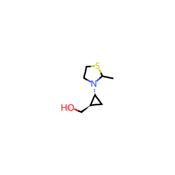 CC1SCCN1[C@@H]1C[C@H]1CO